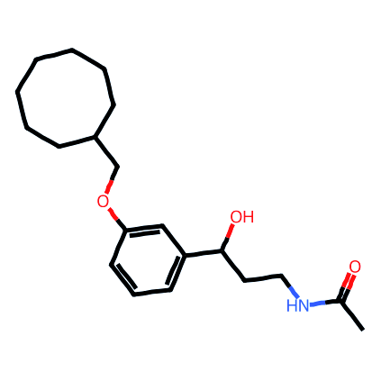 CC(=O)NCCC(O)c1cccc(OCC2CCCCCCC2)c1